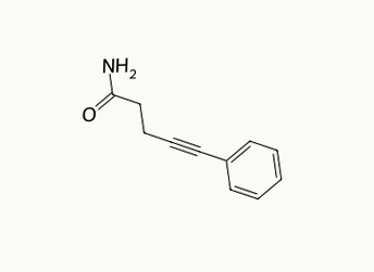 NC(=O)CCC#Cc1ccccc1